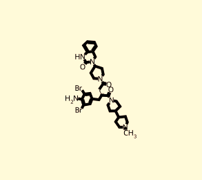 CN1CCC(C2CCN(C(=O)[C@@H](CC(=O)N3CCC(N4Cc5ccccc5NC4=O)CC3)Cc3cc(Br)c(N)c(Br)c3)CC2)CC1